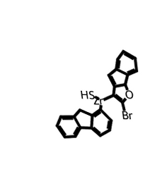 [SH][Zr]([C]1=C(Br)OC2C1=Cc1ccccc12)[c]1cccc2c1Cc1ccccc1-2